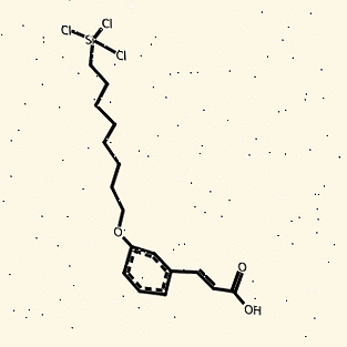 O=C(O)C=Cc1cccc(OCCCCCCCC[Si](Cl)(Cl)Cl)c1